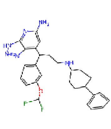 Nc1cc(C(CCNC2CCC(c3ccccc3)CC2)c2cccc(OC(F)F)c2)c2nn[nH]c2n1